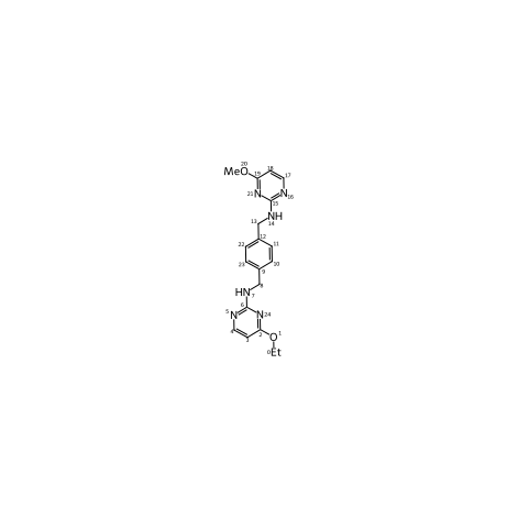 CCOc1ccnc(NCc2ccc(CNc3nccc(OC)n3)cc2)n1